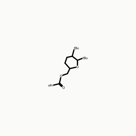 CCCC(=O)OCC1CCC(C(C)(C)C)C(C(C)(C)C)O1